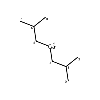 CC(C)[CH2][Ga][CH2]C(C)C